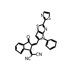 N#CC(C#N)=C1/C(=C/c2cc3sc(-c4nccs4)nc3n2-c2ccccc2)C(=O)c2ccccc21